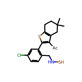 CC(=O)c1c(-c2cc(Cl)ccc2CNS)sc2c1CC(C)(C)CC2